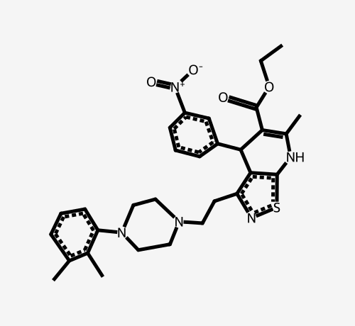 CCOC(=O)C1=C(C)Nc2snc(CCN3CCN(c4cccc(C)c4C)CC3)c2C1c1cccc([N+](=O)[O-])c1